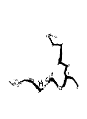 CC(CCCCN)O[SiH2]CCN